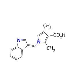 Cc1cn(C=C2C=Nc3ccccc32)c(C)c1C(=O)O